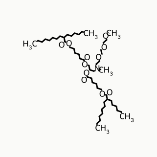 CCCCCCCCC(CCCCCC)C(=O)OCCCCCC(=O)OCC(CN(C)CCOCCOCCOC)OC(=O)CCCCCOC(=O)C(CCCCCC)CCCCCCCC